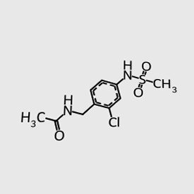 CC(=O)NCc1ccc(NS(C)(=O)=O)cc1Cl